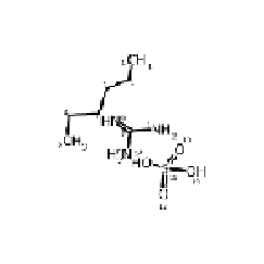 CCCCCC.N=C(N)N.O=S(=O)(O)O